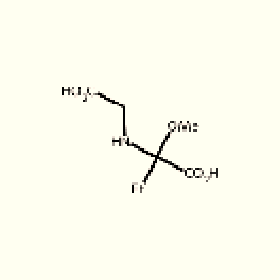 CCC(NCC(=O)O)(OC)C(=O)O